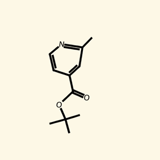 Cc1cc(C(=O)OC(C)(C)C)ccn1